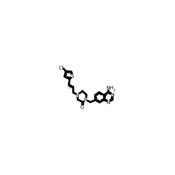 Nc1ncnc2cc(CN3CCN(C/C=C/c4cc(Cl)cs4)CC3=O)ccc12